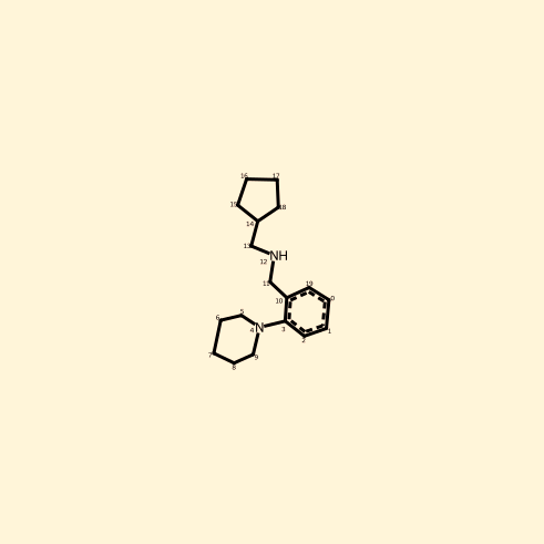 c1ccc(N2CCCCC2)c(CNCC2CCCC2)c1